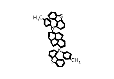 Cc1ccc(N(c2ccc3ccc4c(N(c5ccc(C)cc5)c5cccc6sc7ccccc7c56)ccc5ccc2c3c54)c2cccc3sc4ccccc4c23)cc1